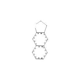 c1ccc2cc3c(cc2c1)CCS3